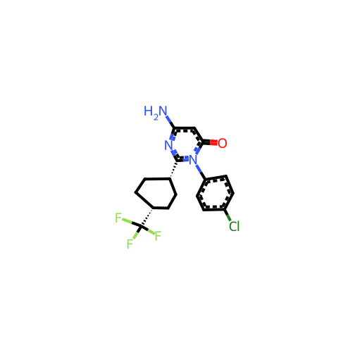 Nc1cc(=O)n(-c2ccc(Cl)cc2)c([C@H]2CC[C@@H](C(F)(F)F)CC2)n1